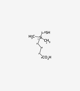 C[Si](C)(CS)CCCC(=O)O